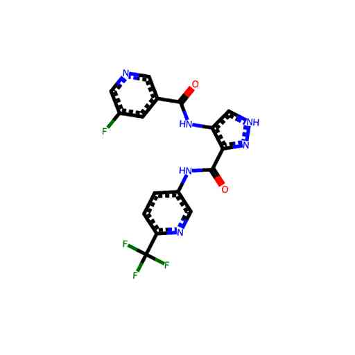 O=C(Nc1c[nH]nc1C(=O)Nc1ccc(C(F)(F)F)nc1)c1cncc(F)c1